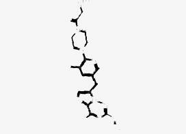 CCC(C)Oc1nc(N)c2ncc(Cc3cnc(N4CCN(C(=O)CNC)CC4)c(C)c3)n2n1